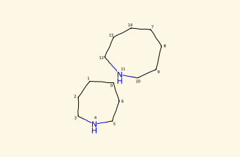 C1CCCNCC1.C1CCCNCCC1